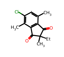 CCC1(C)C(=O)c2c(C)[c]c(Cl)c(C)c2C1=O